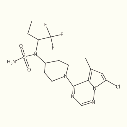 CCC(N(C1CCN(c2ncnn3c(Cl)cc(C)c23)CC1)S(N)(=O)=O)C(F)(F)F